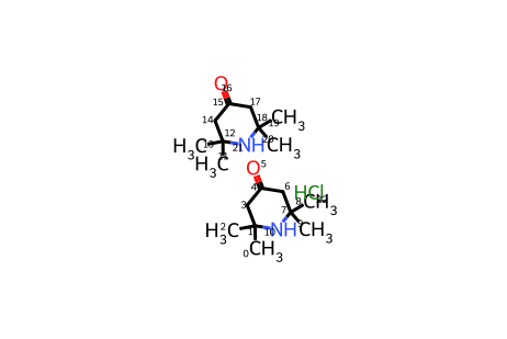 CC1(C)CC(=O)CC(C)(C)N1.CC1(C)CC(=O)CC(C)(C)N1.Cl